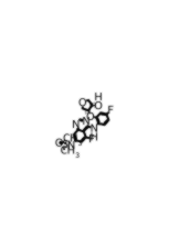 CS(C)(=O)=Nc1cc(F)c2c(Nc3ccc(F)cc3O[C@H]3COC[C@@H]3O)ncnc2c1